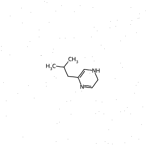 CC(C)CC1=CNCC=N1